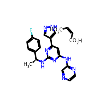 C[C@H](Nc1nc(Nc2cnccn2)cc(-c2cn[nH]c2)n1)c1ccc(F)cc1.O=C(O)/C=C\C(=O)O